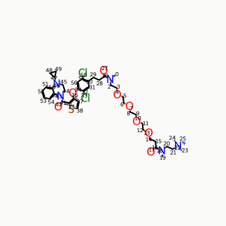 CN(CCOCCOCCOCCOCCC(=O)N(C)CC[N+](C)(C)C)C(=O)CCc1cc(Cl)c(Oc2ccsc2C(=O)N2CCN(C3CC3)c3ccccc32)cc1Cl